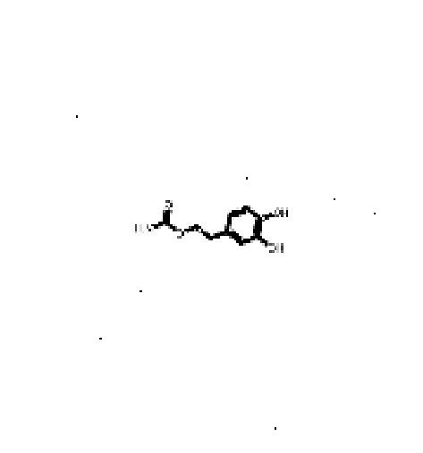 NC(=O)OCCc1ccc(O)c(O)c1